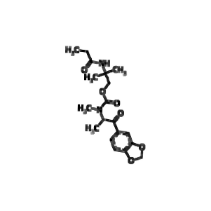 CCC(=O)NC(C)(C)COC(=O)N(C)C(C)C(=O)c1ccc2c(c1)OCO2